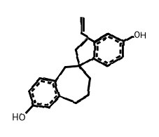 C=Cc1cc(O)ccc1C1(CC)CCCc2cc(O)ccc2C1